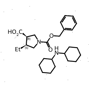 C1CCC(NC2CCCCC2)CC1.CC[C@@H]1CN(C(=O)OCc2ccccc2)C[C@@H]1C(=O)O